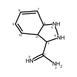 N=C(N)C1NNC2C=CC=CC21